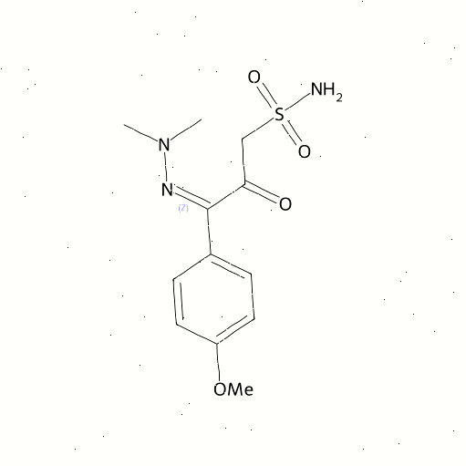 COc1ccc(/C(=N/N(C)C)C(=O)CS(N)(=O)=O)cc1